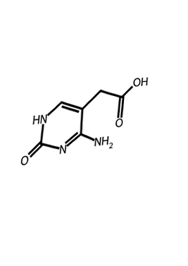 Nc1nc(=O)[nH]cc1CC(=O)O